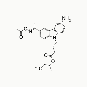 COCC(C)OC(=O)CCCn1c2ccc(N)cc2c2cc(/C(C)=N/OC(C)=O)ccc21